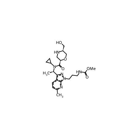 COC(=O)NCCCn1nc([C@@H](C)N(C(=O)[C@H]2CN[C@@H](CO)CO2)C2CC2)c2ccc(C)nc21